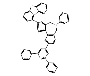 c1ccc(-c2cc(-c3ccc4c(c3)-c3ccc(-c5cccc6oc7ccccc7c56)cc3CN(c3ccccc3)C4)cc(-c3ccccc3)n2)cc1